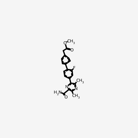 COC(=O)Cc1ccc(-c2ccc(-c3nc(C(N)=O)c(C)nc3C)cc2F)cc1